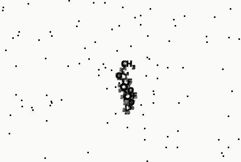 CCCC1CCC(c2ccc3c(oc4c(F)c(OC5CCCC5)ccc43)c2F)CO1